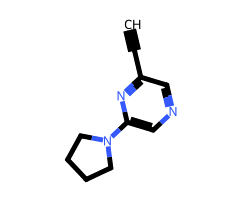 C#Cc1cncc(N2CCCC2)n1